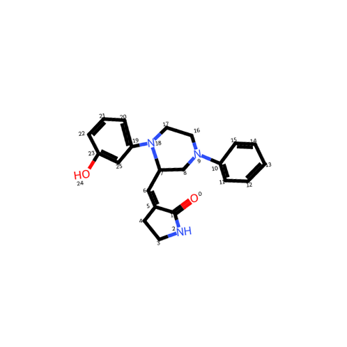 O=C1NCC/C1=C/C1CN(c2ccccc2)CCN1c1cccc(O)c1